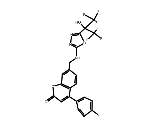 O=c1cc(-c2ccc(F)cc2)c2ccc(CNc3nnc(C(O)(C(F)(F)F)C(F)(F)F)o3)cc2o1